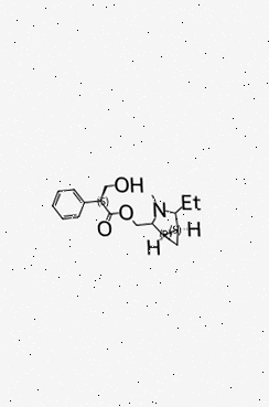 CCC1[C@H]2C[C@H]2C(COC(=O)[C@H](CO)c2ccccc2)N1C